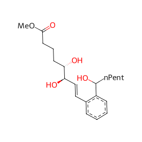 CCCCCC(O)c1ccccc1/C=C/[C@@H](O)[C@@H](O)CCCC(=O)OC